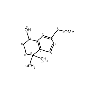 COCc1ccc2c(c1)C(O)CCC2(C)C